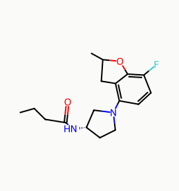 CCCC(=O)N[C@H]1CCN(c2ccc(F)c3c2CC(C)O3)C1